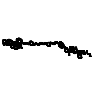 C[C@@H](OCc1ccc(CCCOCCCCCCOCCCc2cccc3c2n(C)c(=O)n3C2CCC(=O)NC2=O)cc1)[C@@H](N)CCC(N)=O